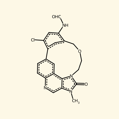 Cn1c(=O)n2c3c4cc(ccc4ncc31)-c1cc(c(NC=O)cc1Cl)COCC2